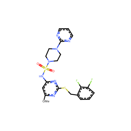 COc1cc(NS(=O)(=O)N2CCN(c3ncccn3)CC2)nc(SCc2cccc(F)c2F)n1